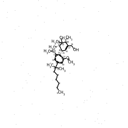 CCCCCCC(C)(C)c1cc(OC)c([C@H]2C=C(CO)[C@@H](C)C(C)(C)[C@H]2C)c(OC)c1